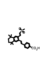 CC1(C)CCC(C)(C)c2cc(/C=C/S(C)(=O)=O)c(C=Cc3ccc(C(=O)O)cc3)cc21